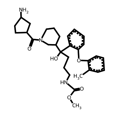 COC(=O)NCCCC(O)(c1ccccc1Oc1ccccc1C)C1CCCN(C(=O)C2CCC(N)C2)C1